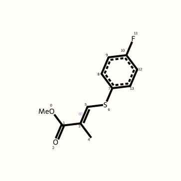 COC(=O)/C(C)=C/Sc1ccc(F)cc1